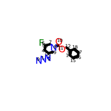 [N-]=[N+]=N[C@H]1C[C@@H](F)CN(C(=O)OCc2ccccc2)C1